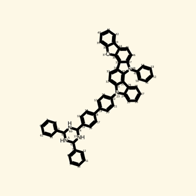 c1ccc(C2NC(c3ccccc3)NC(c3ccc(-c4ccc(-n5c6ccccc6c6c5ccc5c7c8oc9ccccc9c8ccc7n(-c7ccccc7)c56)cc4)cc3)N2)cc1